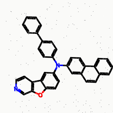 c1ccc(-c2ccc(N(c3ccc4c(ccc5ccccc54)c3)c3ccc4oc5cnccc5c4c3)cc2)cc1